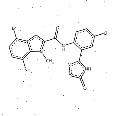 Cn1c(C(=O)Nc2ccc(Cl)cc2-c2noc(=O)[nH]2)cc2c(Br)ccc(N)c21